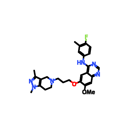 COc1cc2ncnc(Nc3ccc(F)c(C)c3)c2cc1OCCCN1CCc2c(c(C)nn2C)C1